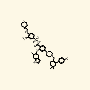 CC1(C)CCC(CN2CCN(c3ccc(C(=O)NS(=O)(=O)c4ccc(NCC5(F)CCOCC5)c([N+](=O)[O-])c4)c(Oc4cc5cc[nH]c5cc4F)c3)CC2)=C(c2ccc(Cl)cc2)C1